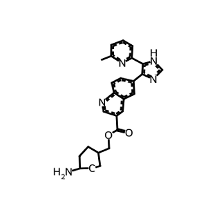 Cc1cccc(-c2[nH]cnc2-c2ccc3ncc(C(=O)OCC4CCC(N)CC4)cc3c2)n1